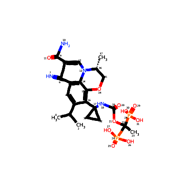 CC(C)c1cc2c(=N)c(C(N)=O)cn3c2c(c1C1(NC(=O)OC(C)(P(=O)(O)O)P(=O)(O)O)CC1)OC[C@H]3C